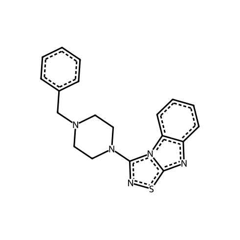 c1ccc(CN2CCN(c3nsc4nc5ccccc5n34)CC2)cc1